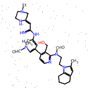 CCN1CCN/C(=C\C(=N)N/C(C)=C/C(=C\N(C)C=O)c2ccnc(N(C=O)CCn3c(C)cc4c3CCCC4)c2CO)C1